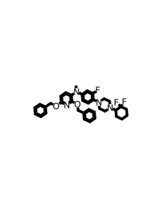 CN(c1ccc(N2CCN(C3CCCCC3(F)F)CC2)c(F)c1)c1ccc(OCc2ccccc2)nc1OCc1ccccc1